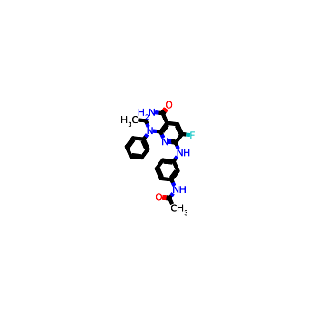 CCN(c1ccccc1)c1nc(Nc2cccc(NC(C)=O)c2)c(F)cc1C(N)=O